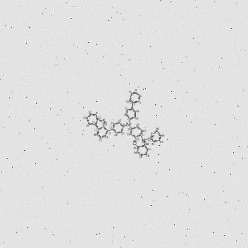 c1ccc(-c2ccc(N(c3ccc(-c4cccc5c4sc4ccccc45)cc3)c3ccc4c(c3)Oc3ccccc3N4c3ccccc3)cc2)cc1